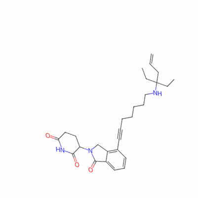 C=CCC(CC)(CC)NCCCCCC#Cc1cccc2c1CN(C1CCC(=O)NC1=O)C2=O